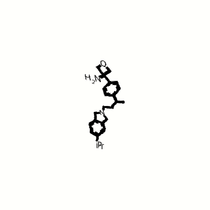 CC(C)c1ccc2c(c1)CN(CCC(C)c1ccc(C3(N)COC3)cc1)C2